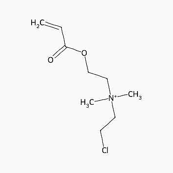 C=CC(=O)OCC[N+](C)(C)CCCl